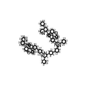 c1ccc(-c2cc(-c3ccc(-c4cccc(-c5nc(-c6ccccc6)cc(-c6ccc7c(c6)C6(c8ccccc8Oc8ccccc86)c6cc(-c8ccc(-c9ccccc9)c9cccnc89)ccc6-7)n5)c4)cc3)nc(-c3ccc(-c4ccc5c(c4)C4(c6ccccc6Oc6ccccc64)c4cc(-c6cccc7cccnc67)ccc4-5)cc3)n2)cc1